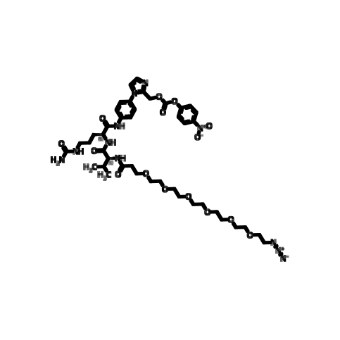 CC(C)[C@H](NC(=O)CCOCCOCCOCCOCCOCCOCCN=[N+]=[N-])C(=O)N[C@@H](CCCNC(N)=O)C(=O)Nc1ccc(-n2ccnc2COC(=O)Oc2ccc([N+](=O)[O-])cc2)cc1